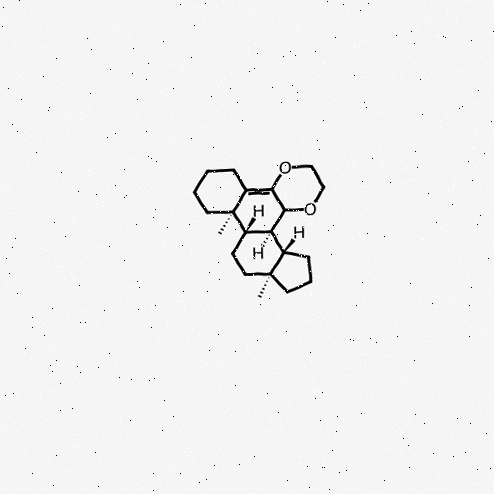 C[C@@]12CCC[C@H]1[C@@H]1C3OCCOC3=C3CCCC[C@]3(C)[C@H]1CC2